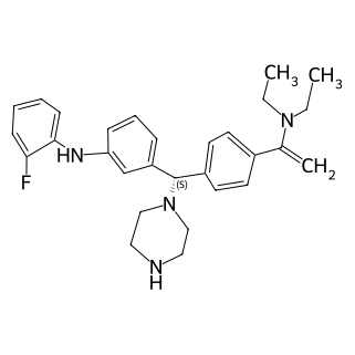 C=C(c1ccc([C@@H](c2cccc(Nc3ccccc3F)c2)N2CCNCC2)cc1)N(CC)CC